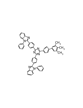 Cc1cc(-c2ccc(-c3nc(-c4ccc(-c5nc6ccccc6n5-c5ccccc5)cc4)nc(-c4ccc(-c5nc6ccccc6n5-c5ccccc5)cc4)n3)cc2)cc(C)c1C